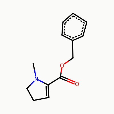 CN1CCC=C1C(=O)OCc1ccccc1